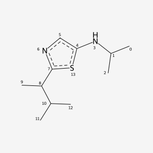 CC(C)Nc1cnc(C(C)C(C)C)s1